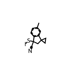 Cc1ccc2c(c1)C1(CC1)CC2(C#N)SI